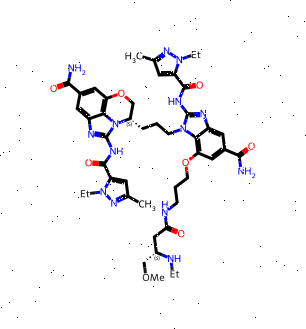 CCN[C@H](COC)CC(=O)NCCCOc1cc(C(N)=O)cc2nc(NC(=O)c3cc(C)nn3CC)n(CCC[C@H]3COc4cc(C(N)=O)cc5nc(NC(=O)c6cc(C)nn6CC)n3c45)c12